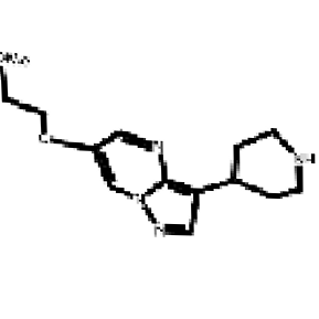 COCCOc1cnc2c(C3CCNCC3)cnn2c1